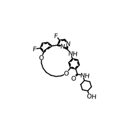 O=C(NC1CCC(O)CC1)c1ccc2cc1OCCCCCCOc1cc(ccc1F)-c1nc(ncc1F)N2